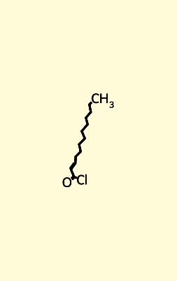 CCCCCCCCCC/C=C/C(=O)Cl